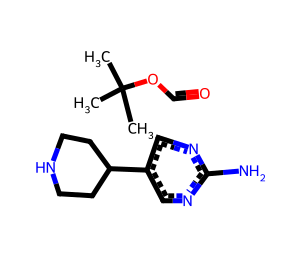 CC(C)(C)OC=O.Nc1ncc(C2CCNCC2)cn1